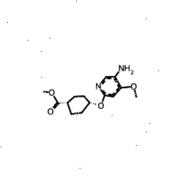 COc1cc(O[C@H]2CC[C@@H](C(=O)OC)CC2)ncc1N